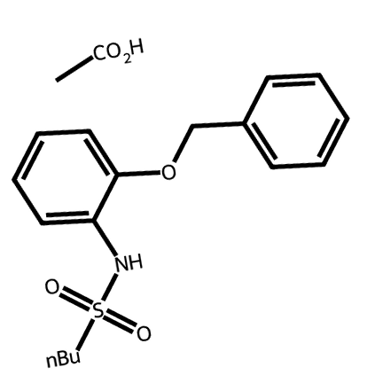 CC(=O)O.CCCCS(=O)(=O)Nc1ccccc1OCc1ccccc1